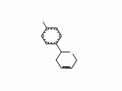 O=[N+]([O-])c1ccc(C2CC=CCN2)cc1